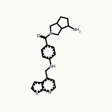 NC1CCC2CN(C(=O)c3ccc(NCc4ccnc5sccc45)cc3)CC12